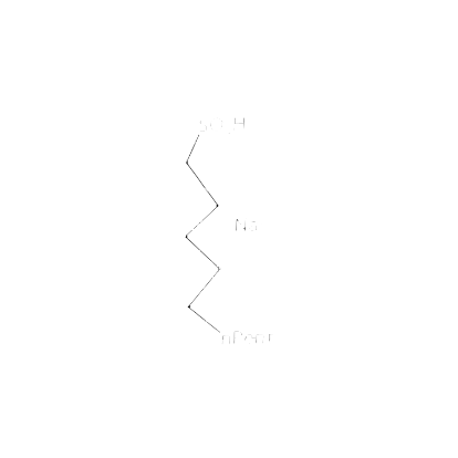 CCCCCCCCCCS(=O)(=O)O.[Na]